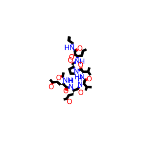 C=CCNC(=O)C(=O)C(CCC)NC(=O)[C@@H]1CCCN1C(=O)[C@@H](NC(=O)[C@@H](NC(=O)[C@H](CCC(C)=O)NC(=O)[C@H](CCC(C)=O)NC(C)=O)C(C)C)C(C)C